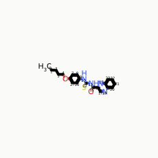 CCCCCOc1ccc(NC(=S)NC(=O)c2cnc3ccccc3n2)cc1